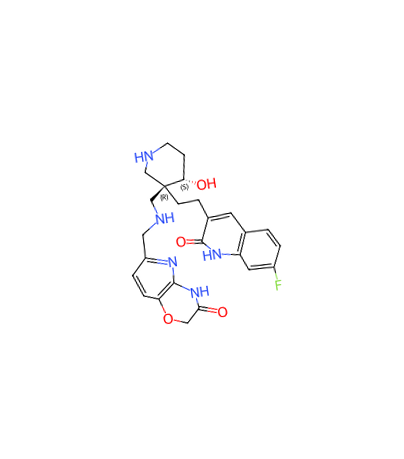 O=C1COc2ccc(CNC[C@@]3(CCc4cc5ccc(F)cc5[nH]c4=O)CNCC[C@@H]3O)nc2N1